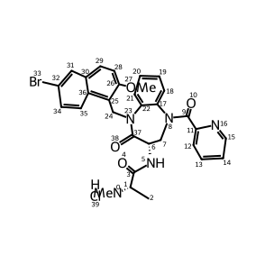 CN[C@@H](C)C(=O)N[C@H]1CN(C(=O)c2ccccn2)c2ccccc2N(Cc2c(OC)ccc3cc(Br)ccc23)C1=O.Cl